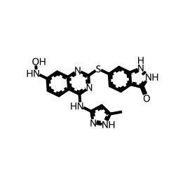 Cc1cc(Nc2nc(Sc3ccc4c(=O)[nH][nH]c4c3)nc3cc(NO)ccc23)n[nH]1